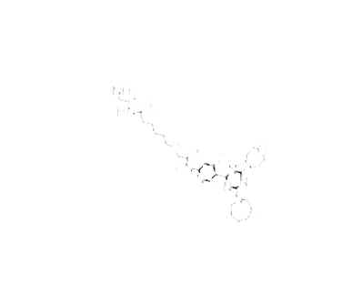 NCCNC(=O)CCCCCOCC(=O)Nc1cc(C(F)(F)F)c(-c2nc(N3CCCCCC3)nc(N3CCOCC3)n2)cn1